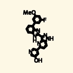 COc1cc(F)cc(-c2cccc3[nH]c(-c4n[nH]c5ccc(-c6cncc(O)c6)nc45)nc23)c1